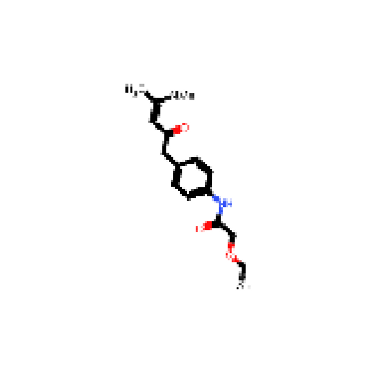 CN/C(C)=C\C(=O)Cc1ccc(NC(=O)COCC(C)=O)cc1